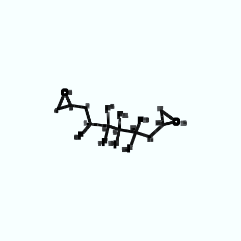 F[C](CC1CO1)C(F)(F)C(F)(F)C(F)(F)CC1CO1